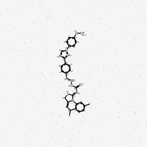 Cc1ccc2c(c1)N1C(=CC2C)CS/C1=N\C(=O)ONCc1ccc(-c2ncn(-c3ccc(OC(F)(F)F)cc3)n2)cc1